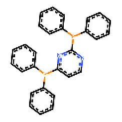 c1ccc(P(c2ccccc2)c2ccnc(P(c3ccccc3)c3ccccc3)n2)cc1